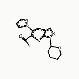 CC(=O)c1nc2c(cnn2C2CCCCO2)cc1-n1cccn1